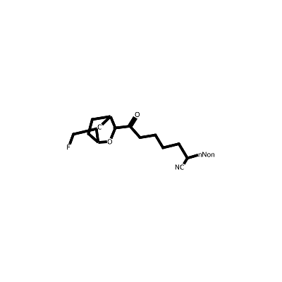 [CH2]CCCCCCCCC(C#N)CCCCC(=O)[C]1OC2CCC1CC2CF